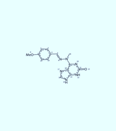 COc1ccc(C=NN(C)c2nc(=O)[nH]c3[nH]cnc23)cc1